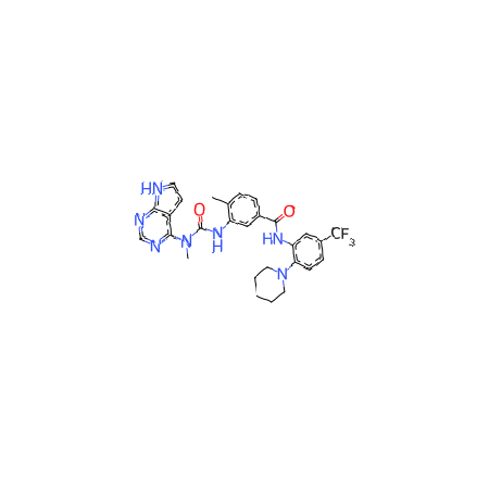 Cc1ccc(C(=O)Nc2cc(C(F)(F)F)ccc2N2CCCCC2)cc1NC(=O)N(C)c1ncnc2[nH]ccc12